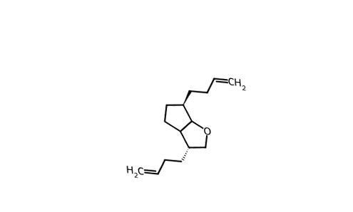 C=CCC[C@H]1COC2C1CC[C@H]2CCC=C